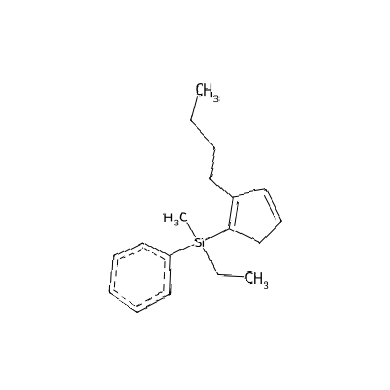 CCCCC1=C([Si](C)(CC)c2ccccc2)CC=C1